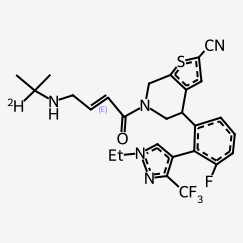 [2H]C(C)(C)NC/C=C/C(=O)N1Cc2sc(C#N)cc2C(c2cccc(F)c2-c2cn(CC)nc2C(F)(F)F)C1